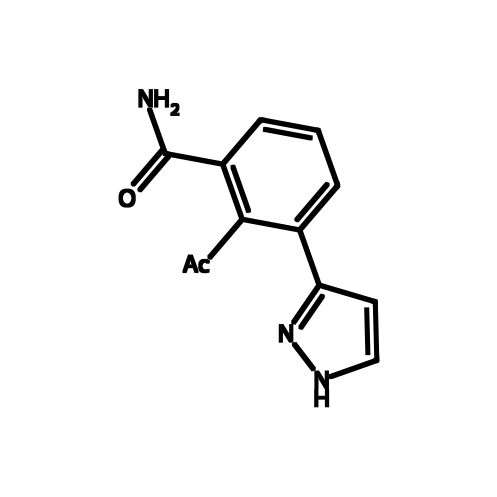 CC(=O)c1c(C(N)=O)cccc1-c1cc[nH]n1